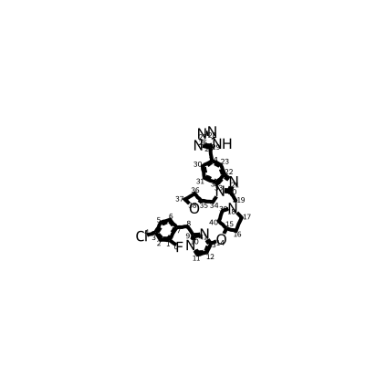 Fc1cc(Cl)ccc1Cc1nccc(OC2CCN(Cc3nc4cc(-c5nnn[nH]5)ccc4n3CC3CCO3)CC2)n1